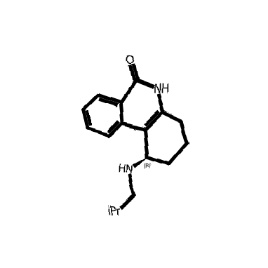 CC(C)CN[C@@H]1CCCc2[nH]c(=O)c3ccccc3c21